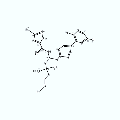 CCOCCC(C)(C[C@@H](Cc1ccc(-c2cc(Cl)ccc2F)cc1)NC(=O)c1cc(CC)no1)C(=O)O